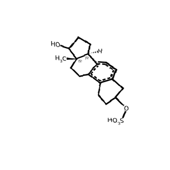 C[C@]12CCc3c(ccc4c3CCC(OS(=O)(=O)O)C4)[C@@H]1CCC2O